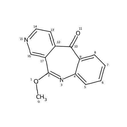 COc1nc2ccccc2c(=O)c2ccncc12